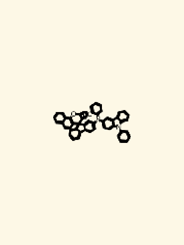 Cc1ccccc1N(c1ccc2c(c1)C1(c3ccccc3Oc3c1ccc1ccccc31)c1ccccc1-2)c1ccc2c(c1)c1ccccc1n2-c1ccccc1